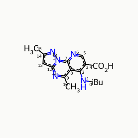 CCC(C)Nc1c(C(=O)O)cnc2c1c(C)nc1cc(C)nn12